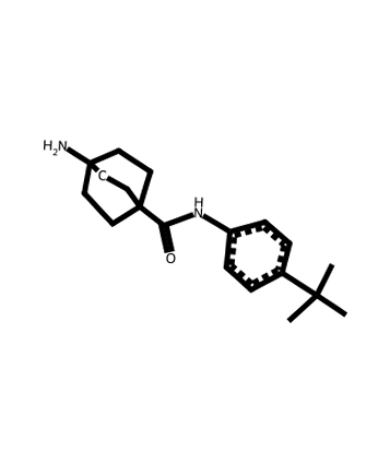 CC(C)(C)c1ccc(NC(=O)C23CCC(N)(CC2)CC3)cc1